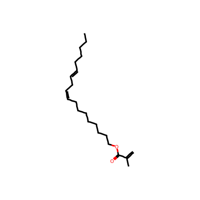 C=C(C)C(=O)OCCCCCCCC/C=C\CC=CCCCCC